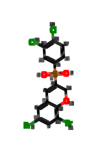 O=S(=O)(C1=Cc2cc(Br)cc(Br)c2OC1)c1ccc(Cl)c(Cl)c1